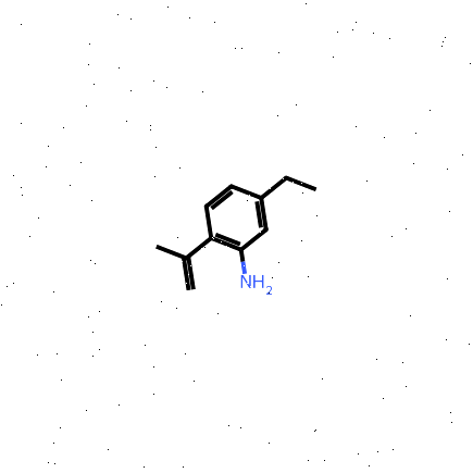 C=C(C)c1ccc(CC)cc1N